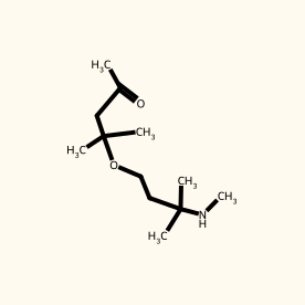 CNC(C)(C)CCOC(C)(C)CC(C)=O